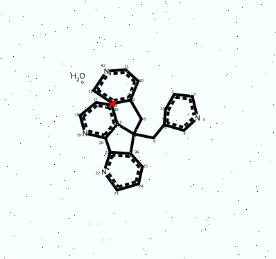 O.c1cncc(CC2(Cc3ccncc3)c3cccnc3-c3ncccc32)c1